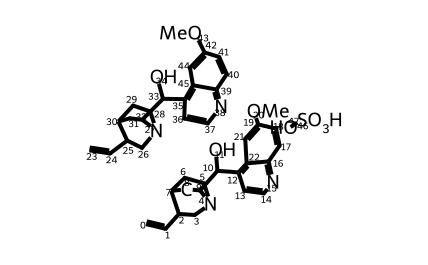 C=CC1CN2CCC1CC2C(O)c1ccnc2ccc(OC)cc12.C=CC1CN2CCC1CC2C(O)c1ccnc2ccc(OC)cc12.O=S(=O)(O)O